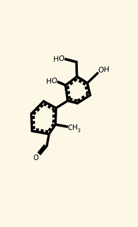 Cc1c(C=O)cccc1-c1ccc(O)c(CO)c1O